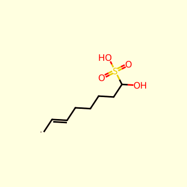 [CH2]C=CCCCCC(O)S(=O)(=O)O